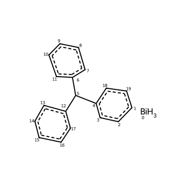 [BiH3].c1ccc(C(c2ccccc2)c2ccccc2)cc1